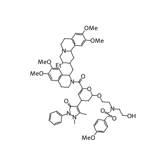 CCC1CN2CCc3cc(OC)c(OC)cc3C2CC1CC1c2cc(OC)c(OC)cc2CCN1C(=O)C1=CC(c2c(C)n(C)n(-c3ccccc3)c2=O)CC(OCCN(CCO)S(=O)(=O)c2ccc(OC)cc2)O1